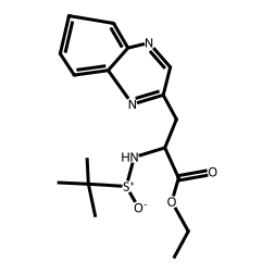 CCOC(=O)C(Cc1cnc2ccccc2n1)N[S+]([O-])C(C)(C)C